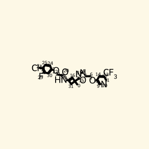 CC1(c2nnc(COc3cncc(C(F)(F)F)c3)o2)C=C(NC(=O)COc2ccc(Cl)c(F)c2)C1